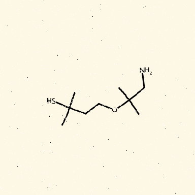 CC(C)(S)CCOC(C)(C)CN